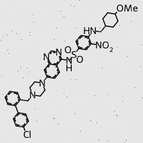 COC1CCC(CNc2ccc(S(=O)(=O)Nc3ncnc4cc(N5CCN(Cc6ccccc6-c6ccc(Cl)cc6)CC5)ccc34)cc2[N+](=O)[O-])CC1